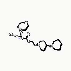 CC(C)(C)/C(=N/C(=O)OCCN1CCC(N2CCCCC2)CC1)N1CCOCC1